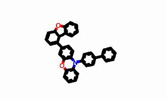 C1=CC2Oc3ccccc3C2C(c2ccc3c(c2)Oc2ccccc2N3c2ccc(-c3ccccc3)cc2)=C1